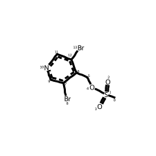 CS(=O)(=O)OCc1c(Br)cncc1Br